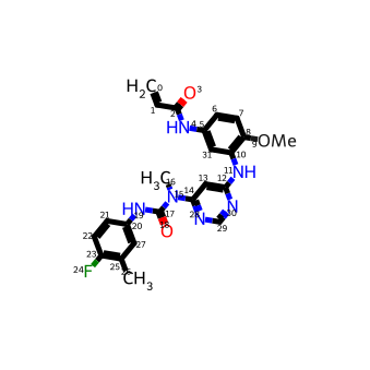 C=CC(=O)Nc1ccc(OC)c(Nc2cc(N(C)C(=O)Nc3ccc(F)c(C)c3)ncn2)c1